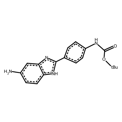 CC(C)(C)OC(=O)Nc1ccc(-c2nc3cc(N)ccc3[nH]2)cc1